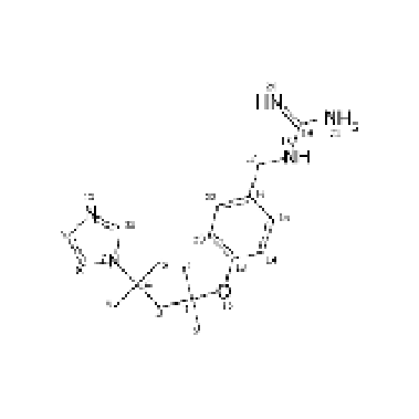 CC(C)(CC(C)(C)n1ccnc1)Oc1ccc(CNC(=N)N)cc1